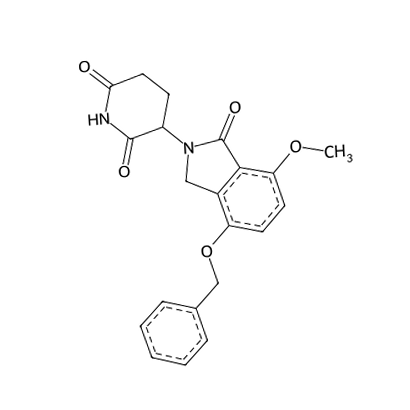 COc1ccc(OCc2ccccc2)c2c1C(=O)N(C1CCC(=O)NC1=O)C2